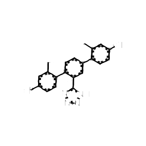 Cc1cc(Cl)ccc1-c1ccc(-c2ccc(Cl)cc2C)c(-c2nnn[nH]2)c1